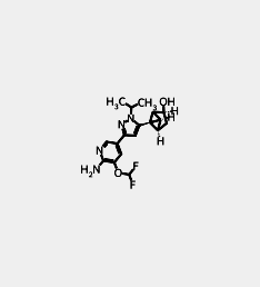 CC(C)n1nc(-c2cnc(N)c(OC(F)F)c2)cc1[C@]12C3[C@@H](O)C[C@@H]1[C@H]32